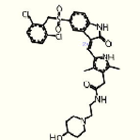 Cc1[nH]c(/C=C2\C(=O)Nc3ccc(S(=O)(=O)Cc4c(Cl)cccc4Cl)cc32)c(C)c1CC(=O)NCCN1CCC(O)CC1